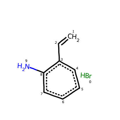 Br.C=Cc1ccccc1N